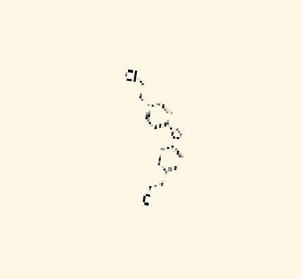 ClCCc1ccc(Oc2ccc(CCCl)cc2)cc1